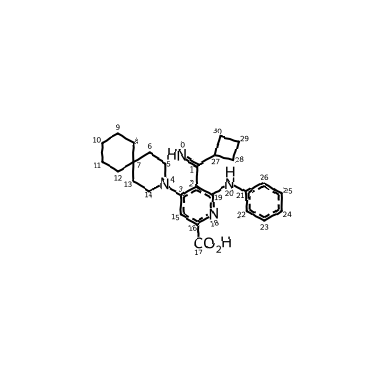 N=C(c1c(N2CCC3(CCCCC3)CC2)cc(C(=O)O)nc1Nc1ccccc1)C1CCC1